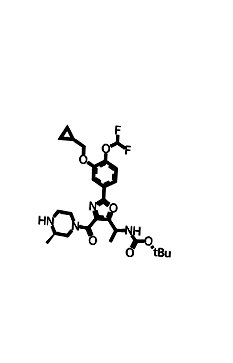 CC(NC(=O)OC(C)(C)C)c1oc(-c2ccc(OC(F)F)c(OCC3CC3)c2)nc1C(=O)N1CCN[C@H](C)C1